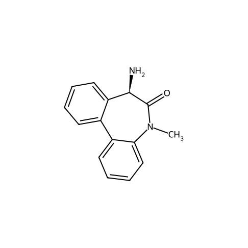 CN1C(=O)[C@H](N)c2ccccc2-c2ccccc21